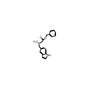 CN(CC(=O)OCc1ccccc1)Cc1ccc2[nH]ccc2c1